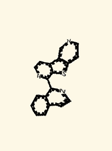 c1ccc2c(-c3nccc4c3sc3ccncc34)nccc2c1